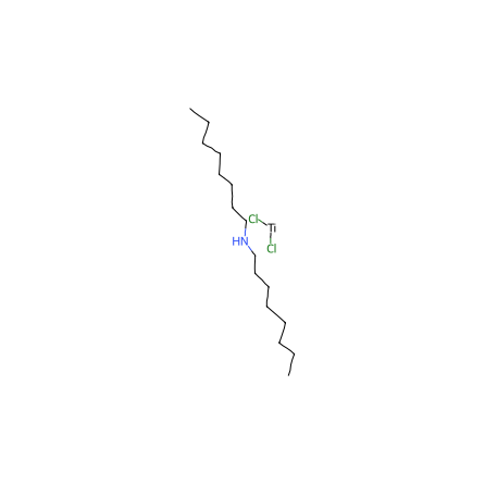 CCCCCCCCNCCCCCCCC.[Cl][Ti][Cl]